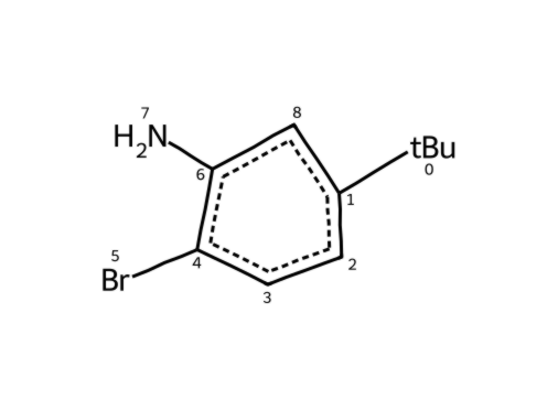 CC(C)(C)c1ccc(Br)c(N)c1